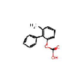 Cc1cccc(OC(=O)O)c1-c1ccccc1